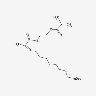 C=C(C)C(=O)OCCOC(=O)C(C)=CCCCCCCCCCCCCCCCCCC